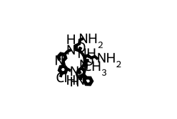 CN1C(=O)C(CCCCN)NC(=O)C(CCCN)NCc2ccnc(c2)-c2ccc(Cl)cc2CNC(=O)C1Cc1c[nH]c2ccccc12